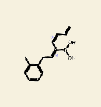 C=C/C=C\C(=C/Cc1ccccc1C)B(O)O